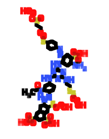 CC(=O)Nc1cc(Nc2nc(NCCSSOOO)nc(Nc3cc(N)c(S(=O)(=O)O)cc3N=Nc3ccc(SOOCCS(=O)OOO)cc3)n2)ccc1N=Nc1cc2cc(S(=O)(=O)O)cc(S(=O)(=O)O)c2cc1SOOO